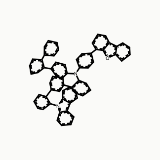 c1ccc(-c2ccccc2-c2ccc(N(c3ccc(-c4cccc5c4oc4ccccc45)cc3)c3ccccc3-c3cccc(-c4ccccc4-n4c5ccccc5c5ccccc54)c3)cc2)cc1